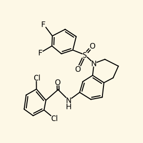 O=C(Nc1ccc2c(c1)N(S(=O)(=O)c1ccc(F)c(F)c1)CCC2)c1c(Cl)cccc1Cl